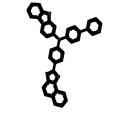 c1ccc(-c2ccc(N(c3ccc(-c4nc5ccc6ccccc6c5o4)cc3)c3ccc4c(c3)oc3ccccc34)cc2)cc1